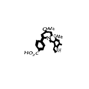 COc1cc(C)c2[nH]ccc2c1CN1CCC(OC)CC1c1ccc(C(=O)O)cc1